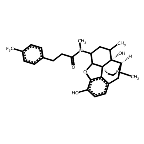 CC1CC(N(C)C(=O)CCc2ccc(C(F)(F)F)cc2)C2Oc3c(O)ccc4c3[C@@]23CCN(C)[C@H](C4)[C@]13O